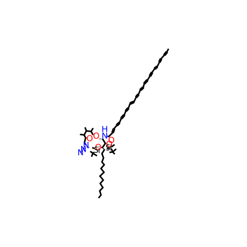 CC#CC#CC#CC#CC#CC#CC#CC#CC#CC#CC#CC#CC(=O)N[C@@H](COC1OC(CN=[N+]=[N-])C(C)C(C)C1C)[C@H](O[Si](C)(C)C(C)(C)C)[C@@H](CCCCCCCCCCCCCC)O[Si](C)(C)C(C)(C)C